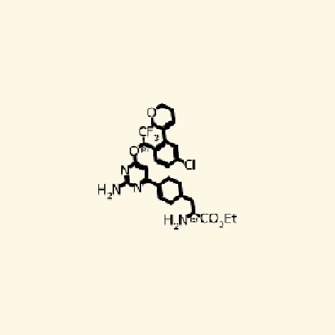 CCOC(=O)[C@@H](N)CC1CC=C(c2cc(O[C@H](c3ccc(Cl)cc3C3=CCCOC3)C(F)(F)F)nc(N)n2)CC1